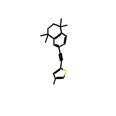 Cc1csc(C#Cc2ccc3c(c2)C(C)(C)CCC3(C)C)c1